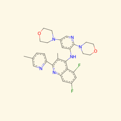 Cc1ccc(-c2nc3cc(F)cc(F)c3c(Nc3cc(N4CCOCC4)cnc3N3CCOCC3)c2C)nc1